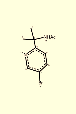 CC(=O)NC(C)(C)c1ccc(Br)cn1